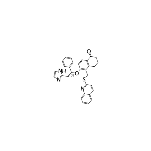 O=C1CCCc2c1ccc(O[C@@H](Cc1ncc[nH]1)c1ccccc1)c2CSc1ccc2ccccc2n1